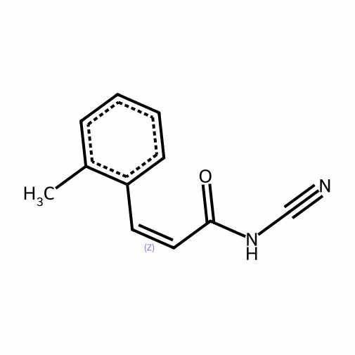 Cc1ccccc1/C=C\C(=O)NC#N